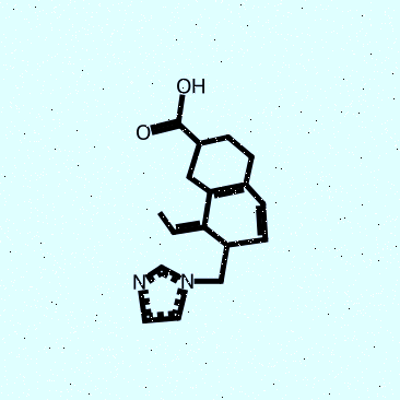 CC=C1C2=C(C=CC1Cn1ccnc1)CCC(C(=O)O)C2